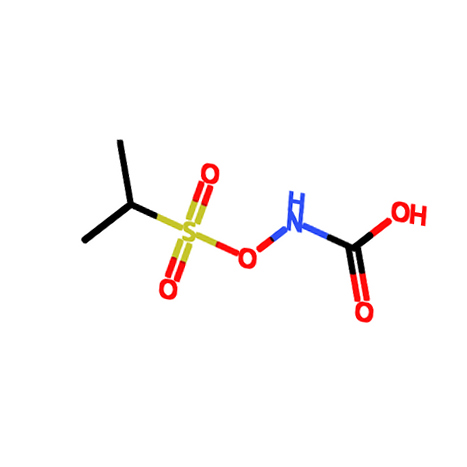 CC(C)S(=O)(=O)ONC(=O)O